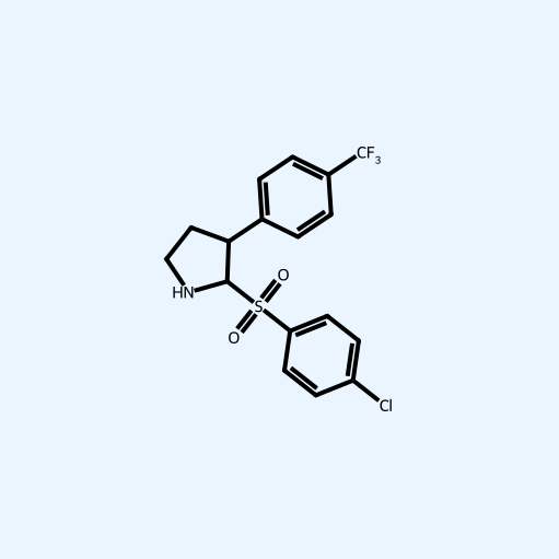 O=S(=O)(c1ccc(Cl)cc1)C1NCCC1c1ccc(C(F)(F)F)cc1